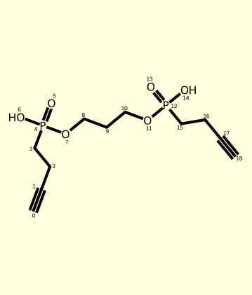 C#CCCP(=O)(O)OCCCOP(=O)(O)CCC#C